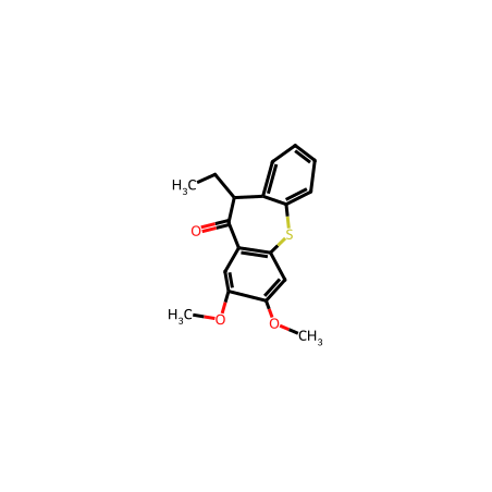 CCC1C(=O)c2cc(OC)c(OC)cc2Sc2ccccc21